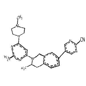 CC1Cc2ccc(-c3cnc(C#N)nc3)cc2CN1c1cc(N2CCN(C)CC2)nc(N)n1